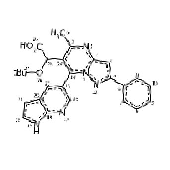 Cc1nc2cc(-c3ccccc3)nn2c(-c2cnc3[nH]ccc3c2)c1C(OC(C)(C)C)C(=O)O